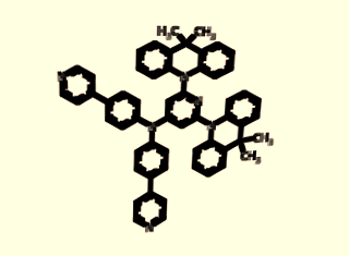 CC1(C)c2ccccc2N(c2cc(N(c3ccc(-c4ccncc4)cc3)c3ccc(-c4ccncc4)cc3)cc(N3c4ccccc4C(C)(C)c4ccccc43)n2)c2ccccc21